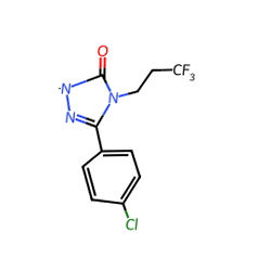 O=C1[N]N=C(c2ccc(Cl)cc2)N1CCC(F)(F)F